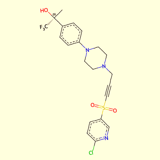 C[C@](O)(c1ccc(N2CCN(CC#CS(=O)(=O)c3ccc(Cl)nc3)CC2)cc1)C(F)(F)F